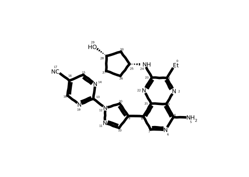 CCc1nc2c(N)ncc(-c3cnn(-c4ncc(C#N)cn4)c3)c2nc1N[C@@H]1CC[C@H](O)C1